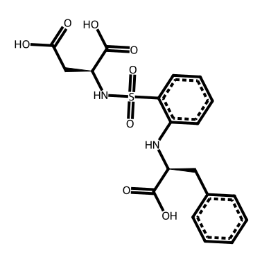 O=C(O)C[C@H](NS(=O)(=O)c1ccccc1N[C@@H](Cc1ccccc1)C(=O)O)C(=O)O